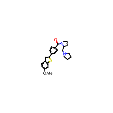 COc1ccc2cc(-c3ccc(C(=O)N4CCCC4CN4CCCC4)cc3)sc2c1